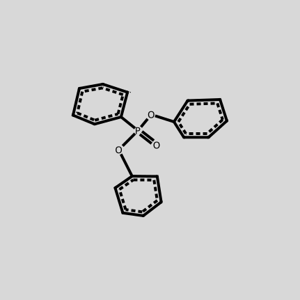 O=P(Oc1ccccc1)(Oc1ccccc1)c1[c]cccc1